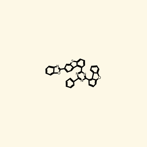 c1ccc(-c2nc(-c3cccc4oc5ccccc5c34)nc(-c3cccc4sc5cc(-c6nc7ccccc7o6)ccc5c34)n2)cc1